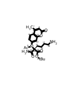 CC(=O)N(c1ccc2c(C)cc(=O)oc2c1)[C@@](CCCCN)(C(N)=O)C(=O)OC(C)(C)C